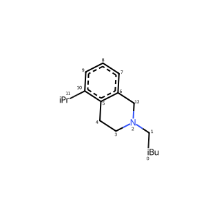 CCC(C)CN1CCc2c(cccc2C(C)C)C1